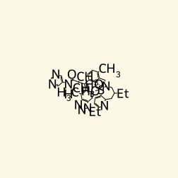 CCC1Cc2ncccc2S(O)(O)N(Cc2cc(C(c3ccc4c(nnn4CC)c3C)C(C)(C)C(=O)Nc3cncnc3)ccc2C)C1